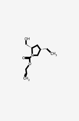 C=CCOC(=O)N1C[C@@H](CC)C[C@H]1CO